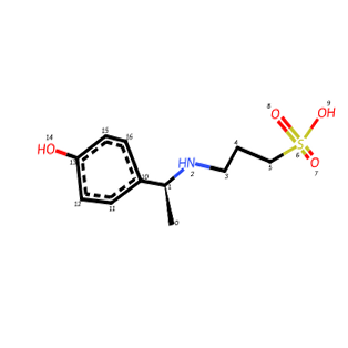 C[C@H](NCCCS(=O)(=O)O)c1ccc(O)cc1